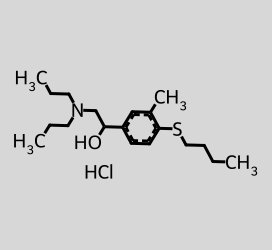 CCCCSc1ccc(C(O)CN(CCC)CCC)cc1C.Cl